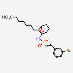 O=C(O)CCCC=CCC1C2CCC(O2)C1NS(=O)(=O)C=Cc1cccc(Br)c1